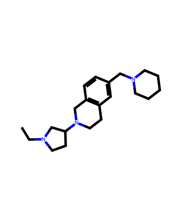 CCN1CCC(N2CCc3cc(CN4CCCCC4)ccc3C2)C1